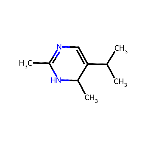 CC1=NC=C(C(C)C)C(C)N1